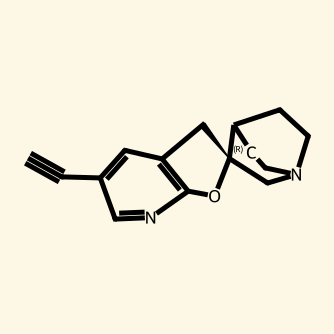 C#Cc1cnc2c(c1)C[C@@]1(CN3CCC1CC3)O2